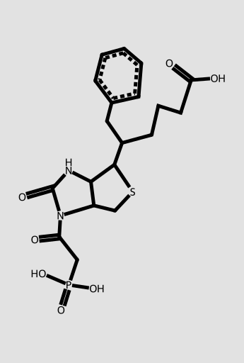 O=C(O)CCCC(Cc1ccccc1)C1SCC2C1NC(=O)N2C(=O)CP(=O)(O)O